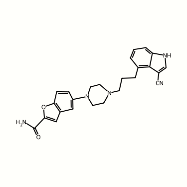 N#Cc1c[nH]c2cccc(CCCN3CCN(c4ccc5oc(C(N)=O)cc5c4)CC3)c12